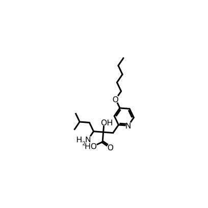 CCCCCOc1ccnc(CC(O)(C(=O)O)C(N)CC(C)C)c1